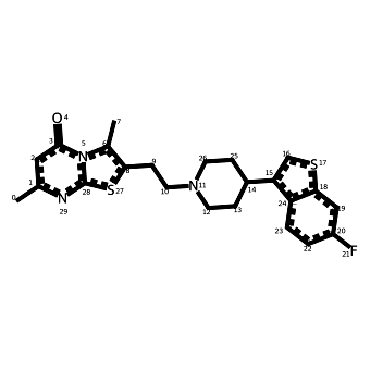 Cc1cc(=O)n2c(C)c(CCN3CCC(c4csc5cc(F)ccc45)CC3)sc2n1